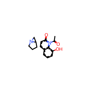 C1CC2CN2C1.CC(=O)n1c(=O)ccc2cccc(O)c21